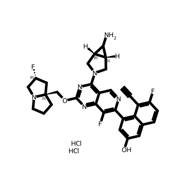 C#Cc1c(F)ccc2cc(O)cc(-c3ncc4c(N5C[C@@H]6C(N)[C@@H]6C5)nc(OC[C@@]56CCCN5C[C@H](F)C6)nc4c3F)c12.Cl.Cl